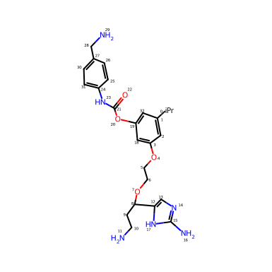 CC(C)c1cc(OCCOC(CCN)c2cnc(N)[nH]2)cc(OC(=O)Nc2ccc(CN)cc2)c1